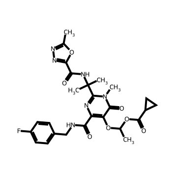 Cc1nnc(C(=O)NC(C)(C)c2nc(C(=O)NCc3ccc(F)cc3)c(OC(C)OC(=O)C3CC3)c(=O)n2C)o1